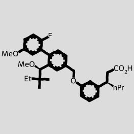 CCC[C@H](CC(=O)O)c1cccc(OCc2ccc(-c3cc(OC)ccc3F)c([C@H](OC)C(C)(C)CC)c2)c1